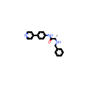 C[C@H](NCc1ccccc1)C(=O)Nc1ccc(-c2ccncc2)cc1